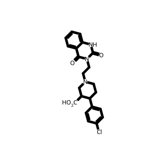 O=C(O)C1CN(CCn2c(=O)[nH]c3ccccc3c2=O)CCC1c1ccc(Cl)cc1